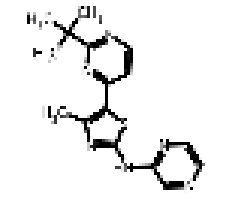 Cc1nc(Nc2cnccn2)sc1-c1ccnc(C(C)(C)C)n1